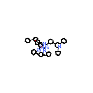 c1ccc(-c2cccc(-c3cccc(-n4c5ccccc5c5ccc6c7ccccc7n(-c7nc(-c8ccccc8)nc(-c8cccc(-c9cc(-c%10ccccc%10)nc(-c%10ccccc%10)c9)c8)n7)c6c54)c3)c2)cc1